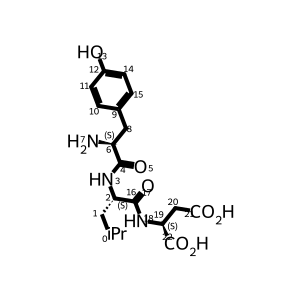 CC(C)C[C@H](NC(=O)[C@@H](N)Cc1ccc(O)cc1)C(=O)N[C@@H](CC(=O)O)C(=O)O